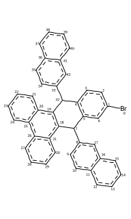 Brc1ccc2c(c1)C(c1ccc3ccccc3c1)c1c(c3ccccc3c3ccccc13)C2c1ccc2ccccc2c1